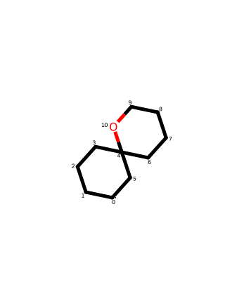 [CH]1CCCC2(C1)CCCCO2